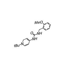 COc1ccccc1CNC(=O)NC1=CCN(C(C)(C)C)C=C1